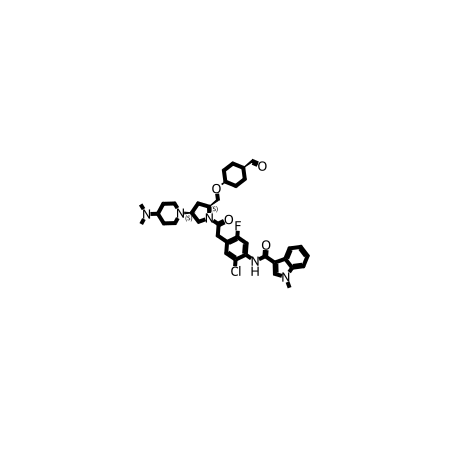 CN(C)C1CCN([C@H]2C[C@@H](CO[C@H]3CC[C@H](C=O)CC3)N(C(=O)Cc3cc(Cl)c(NC(=O)c4cn(C)c5ccccc45)cc3F)C2)CC1